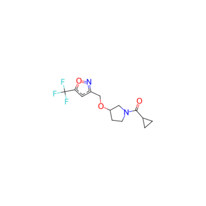 O=C(C1CC1)N1CCC(OCc2cc(C(F)(F)F)on2)C1